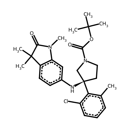 Cc1cccc(Cl)c1[C@@]1(Nc2ccc3c(c2)N(C)C(=O)C3(C)C)CCN(C(=O)OC(C)(C)C)C1